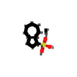 O=S(=O)([O-])c1ccc2cccccc1-2.[K+]